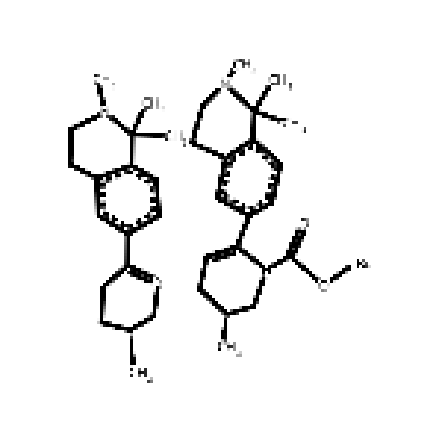 C[C@H]1CC=C(c2ccc3c(c2)CCN(C)C3(C)C)N(C(=O)OC(C)(C)C)C1.C[C@H]1CCC(c2ccc3c(c2)CCN(C)C3(C)C)=NC1